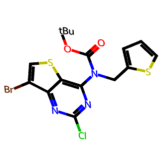 CC(C)(C)OC(=O)N(Cc1cccs1)c1nc(Cl)nc2c(Br)csc12